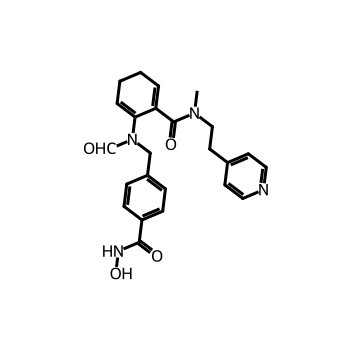 CN(CCc1ccncc1)C(=O)C1=CCCC=C1N(C=O)Cc1ccc(C(=O)NO)cc1